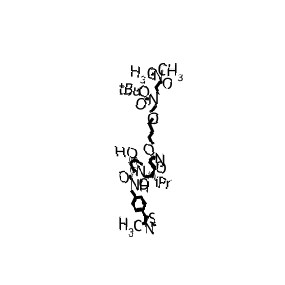 Cc1ncsc1-c1ccc(CNC(=O)[C@@H]2C[C@@H](O)CN2C(=O)[C@H](c2cc(OCCCCOCCN(CCC(=O)N(C)C)C(=O)OC(C)(C)C)no2)C(C)C)cc1